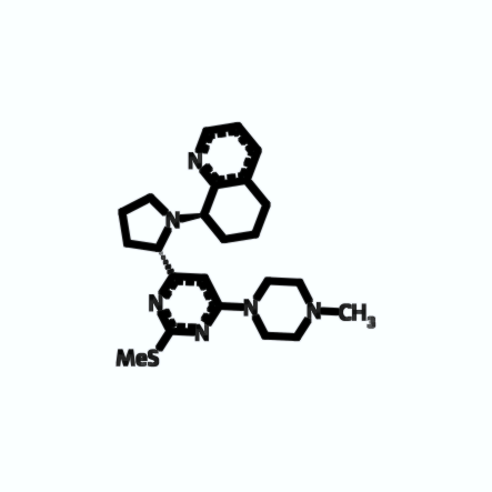 CSc1nc([C@@H]2CCCN2[C@@H]2CCCc3cccnc32)cc(N2CCN(C)CC2)n1